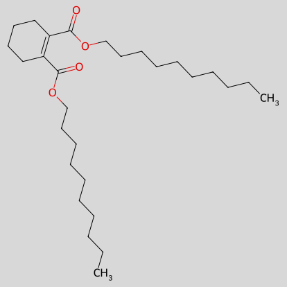 CCCCCCCCCCOC(=O)C1=C(C(=O)OCCCCCCCCCC)CCCC1